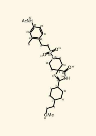 COCCC1CCC(C2=NC3(CCN(S(=O)(=O)CCc4ccc(NC(C)=O)cc4C)CC3)C(=O)N2)CC1